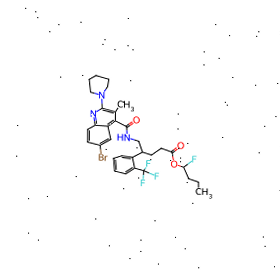 CCCC(F)OC(=O)CCC(CNC(=O)c1c(C)c(N2CCCCC2)nc2ccc(Br)cc12)c1ccccc1C(F)(F)F